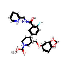 CC(C)(C)OC(=O)N1CC[C@@H](c2ccc(F)c(C(=O)NCc3ccccn3)c2)[C@H](COc2ccc3c(c2)OCO3)C1